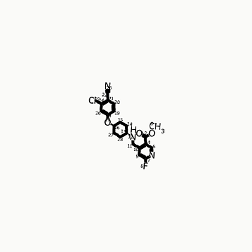 COC(=O)c1cnc(F)cc1CN[C@H]1CC[C@H](Oc2ccc(C#N)c(Cl)c2)CC1